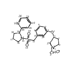 O=CN1CC[C@H](Oc2cccc(CS(=O)(=O)N3CCCC3c3ccccn3)c2)C1